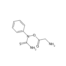 NCC(=O)ON(C(N)=S)c1ccccc1